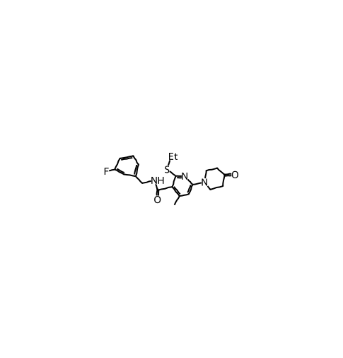 CCSc1nc(N2CCC(=O)CC2)cc(C)c1C(=O)NCc1cccc(F)c1